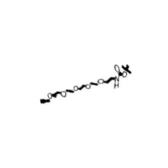 C#CCOCCOCCOCCOCCOCCNC(=O)OC(C)(C)C